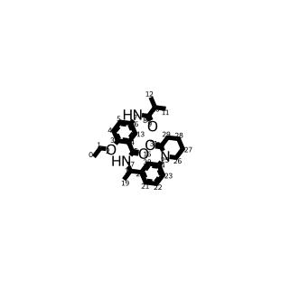 CCOc1ccc(NC(=O)C(C)C)cc1C(=O)NC(C)c1cccc(N2CCCCC2=O)c1